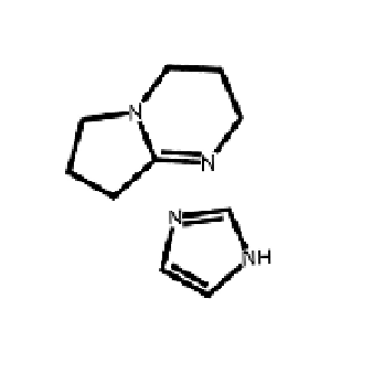 C1CN=C2CCCN2C1.c1c[nH]cn1